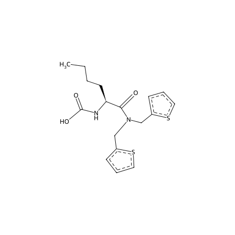 CCCC[C@H](NC(=O)O)C(=O)N(Cc1cccs1)Cc1cccs1